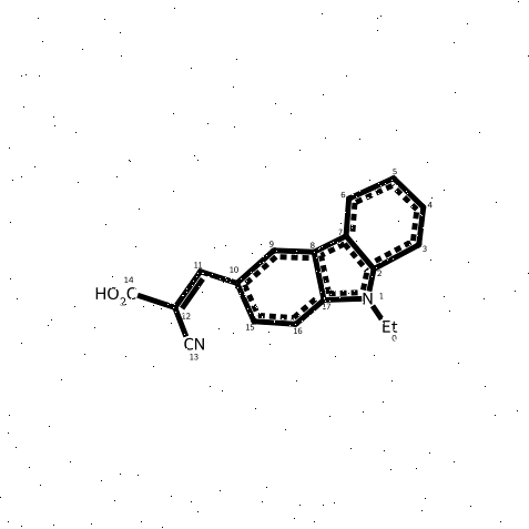 CCn1c2ccccc2c2cc(/C=C(\C#N)C(=O)O)ccc21